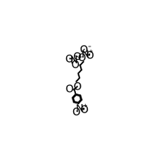 O=C(OCCCCC(CO[N+](=O)[O-])O[N+](=O)[O-])c1ccc([N+](=O)[O-])cc1